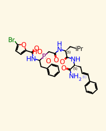 CC(C)C[C@H](NC(=O)CP(=O)(O)C(Cc1ccccc1)NC(=O)c1ccc(Br)o1)C(=O)N[C@@H](C/C=C/c1ccccc1)C(N)=O